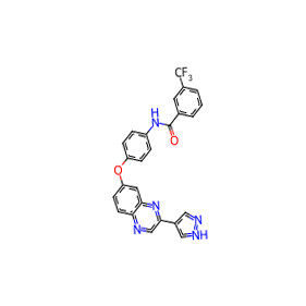 O=C(Nc1ccc(Oc2ccc3ncc(-c4cn[nH]c4)nc3c2)cc1)c1cccc(C(F)(F)F)c1